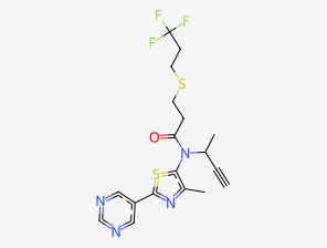 C#CC(C)N(C(=O)CCSCCC(F)(F)F)c1sc(-c2cncnc2)nc1C